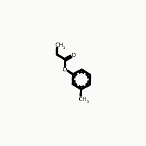 CCC(=O)Oc1cccc(C)c1